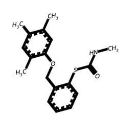 CNC(=O)Sc1ccccc1COc1cc(C)c(C)cc1C